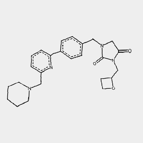 O=C1CN(Cc2ccc(-c3cccc(CN4CCCCC4)n3)cc2)C(=O)N1CC1CCO1